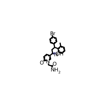 Cc1ccccc1C(C/C(=N\O)c1ccc(=O)n(CC(N)=O)c1)c1ccc(Br)cc1